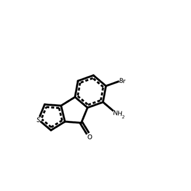 Nc1c(Br)ccc2c1C(=O)c1cscc1-2